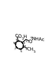 CC(=O)NOCc1c(C)cccc1C(=O)O